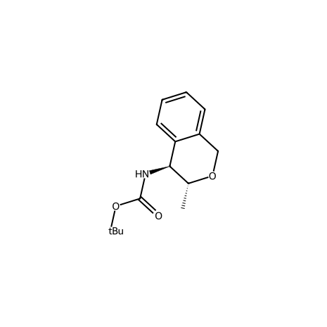 C[C@H]1OCc2ccccc2[C@@H]1NC(=O)OC(C)(C)C